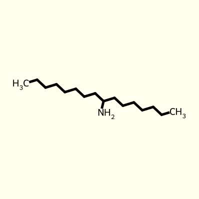 CCCCCCCCC(N)CCCCCCC